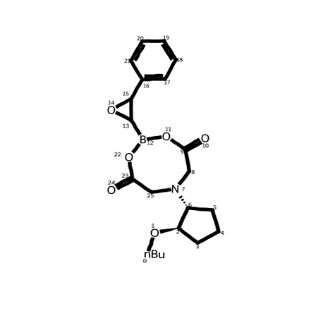 CCCCO[C@@H]1CCC[C@H]1N1CC(=O)OB(C2OC2c2ccccc2)OC(=O)C1